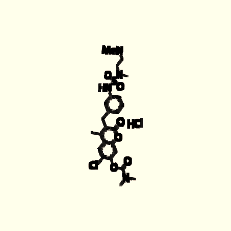 CNCCN(C)S(=O)(=O)Nc1cccc(Cc2c(C)c3cc(Cl)c(OC(=O)N(C)C)cc3oc2=O)c1.Cl